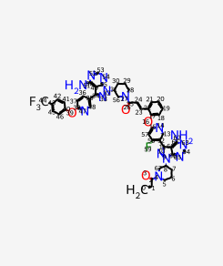 C=CC(=O)N1CCC[C@@H](n2nc(-c3cnc(Oc4ccccc4/C=C/C(=O)N4CCC[C@@H](n5nc(-c6ccc(Oc7ccc(C(F)(F)F)cc7)nc6)c6c(N)ncnc65)C4)cc3F)c3c(N)ncnc32)C1